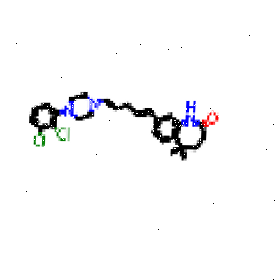 CC1(C)CCC(=O)Nc2cc(/C=C/CCCN3CCN(c4cccc(Cl)c4Cl)CC3)ccc21